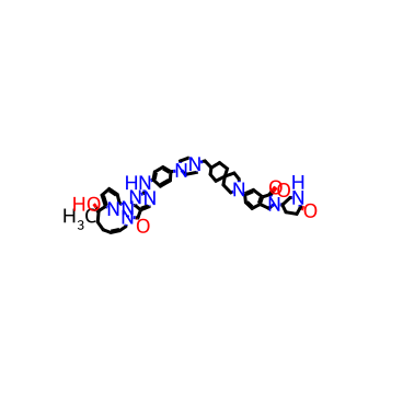 C[C@@]1(O)CC/C=C\Cn2c(=O)c3cnc(Nc4ccc(N5CCN(CC6CCC7(CC6)CCN(c6ccc8c(c6)C(=O)N(C6CCC(=O)NC6=O)C8)CC7)CC5)cc4)nc3n2-c2cccc1n2